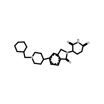 O=C1CCC(N2Cc3cc(C4CCN(CC5CCCCC5)CC4)ccc3C2=O)C(=O)N1